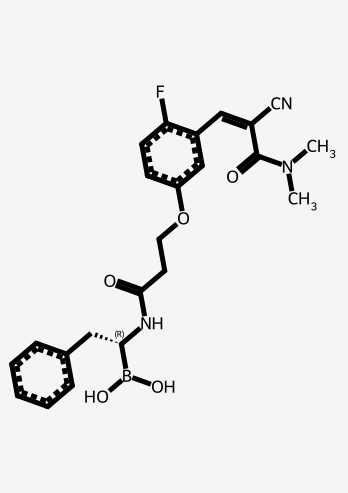 CN(C)C(=O)C(C#N)=Cc1cc(OCCC(=O)N[C@@H](Cc2ccccc2)B(O)O)ccc1F